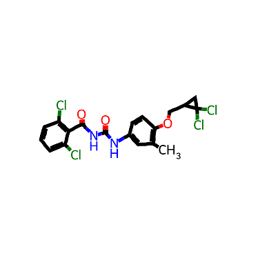 Cc1cc(NC(=O)NC(=O)c2c(Cl)cccc2Cl)ccc1OCC1CC1(Cl)Cl